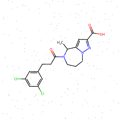 CC1c2cc(C(=O)O)nn2CCCN1C(=O)CCc1cc(Cl)cc(Cl)c1